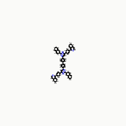 c1ccc2cc(-c3nc(-c4ccc(-c5ccc(-c6cc(-c7ccc(-c8nccc9ccccc89)cc7)nc(-c7ccc8ccccc8c7)n6)cc5)cc4)cc(-c4ccc(-c5nccc6ccccc56)cc4)n3)ccc2c1